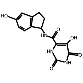 O=C(NC1CCc2cc(O)ccc21)c1[nH]c(=O)[nH]c(=O)c1O